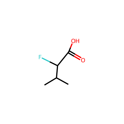 CC(C)C(F)C(=O)O